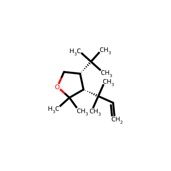 C=CC(C)(C)[C@H]1[C@@H](C(C)(C)C)COC1(C)C